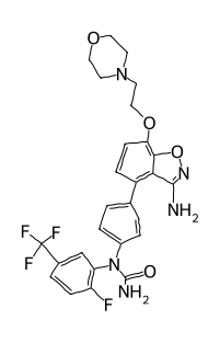 NC(=O)N(c1ccc(-c2ccc(OCCN3CCOCC3)c3onc(N)c23)cc1)c1cc(C(F)(F)F)ccc1F